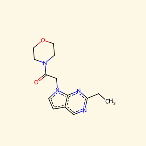 CCc1ncc2ccn(CC(=O)N3CCOCC3)c2n1